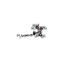 NCCOCCOCCOCCn1cc(COC2c3c(O)cc(O)cc3OC(c3cc(O)c(O)c(O)c3)C2OC(=O)c2cc(O)c(O)c(F)c2)nn1